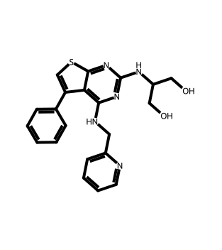 OCC(CO)Nc1nc(NCc2ccccn2)c2c(-c3ccccc3)csc2n1